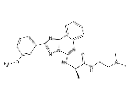 C[C@@H](Nc1nc2ccccc2c2nc(-c3cccc(OC(F)(F)F)c3)nn12)C(=O)NCCN(C)C